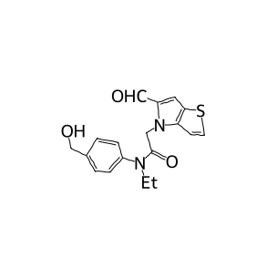 CCN(C(=O)Cn1c(C=O)cc2sccc21)c1ccc(CO)cc1